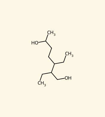 CCC(CO)C(CC)CCC(C)O